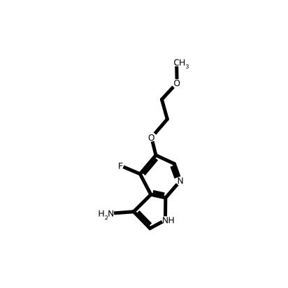 COCCOc1cnc2[nH]cc(N)c2c1F